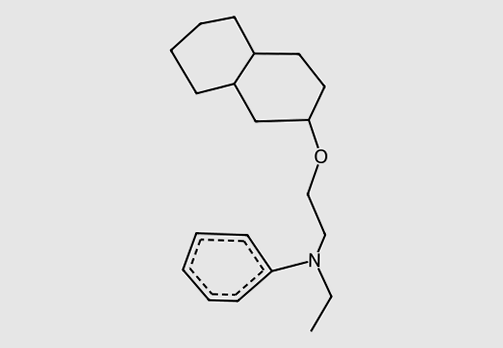 CCN(CCOC1CCC2CCCCC2C1)c1ccccc1